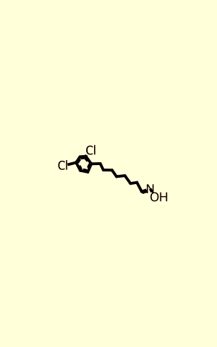 ON=CCCCCCCCc1ccc(Cl)cc1Cl